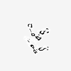 CN(C)CCOc1ccc(-c2cccc3cnc(Nc4ccc(N5CCOCC5)nc4)nc23)cc1.c1cc(-c2ccc(OCCN3CCOCC3)cc2)c2nc(Nc3ccc(N4CCOCC4)nc3)ncc2c1